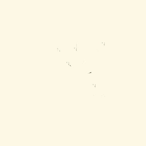 C=CC(=O)N1CC[C@]2(C1)C[C@H](n1c(NC(=O)c3ccns3)nc3ccccc31)C2